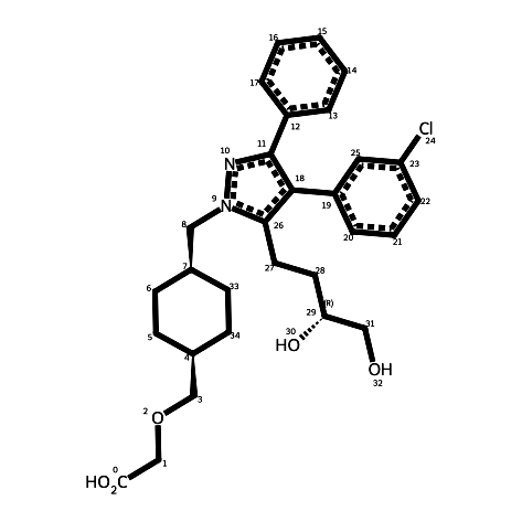 O=C(O)COC[C@H]1CC[C@@H](Cn2nc(-c3ccccc3)c(-c3cccc(Cl)c3)c2CC[C@@H](O)CO)CC1